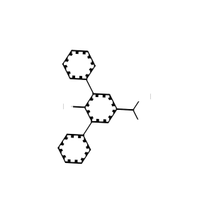 CC(C)c1cc(-c2ccccc2)c(O)c(-c2ccccc2)c1